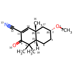 CO[C@@H]1CC[C@@H]2C(C)(C)C(=O)C(C#N)=C[C@]2(C)C1